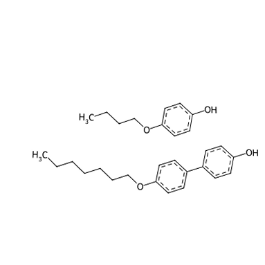 CCCCCCCOc1ccc(-c2ccc(O)cc2)cc1.CCCCOc1ccc(O)cc1